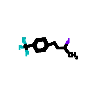 CC(I)CCc1ccc(C(F)(F)F)cc1